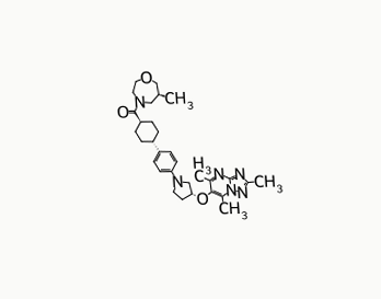 Cc1nc2nc(C)c(O[C@@H]3CCN(c4ccc([C@H]5CC[C@H](C(=O)N6CCOC[C@@H](C)C6)CC5)cc4)C3)c(C)n2n1